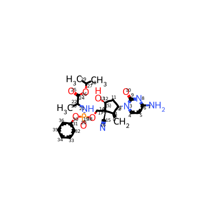 C=C1[C@@H](n2ccc(N)nc2=O)C[C@H](O)[C@@]1(C#N)COP(=O)(NC(C)C(=O)OC(C)C)Oc1ccccc1